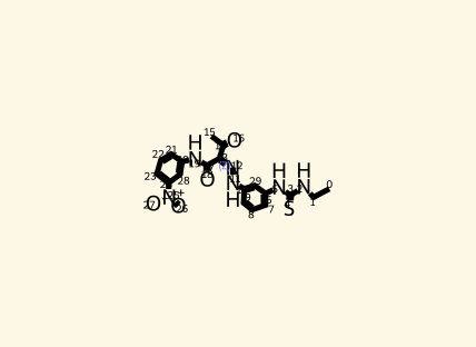 CCNC(=S)Nc1cccc(N/N=C(/C(C)=O)C(=O)Nc2cccc([N+](=O)[O-])c2)c1